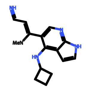 CN/C(=C\C=N)c1cnc2[nH]ccc2c1NC1CCC1